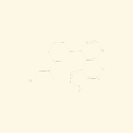 N#CCC(=O)N1CCCC(c2cnnc3nnc4[nH]ccc4c23)C1